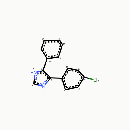 Clc1ccc(-c2nc[nH]c2-c2ccccc2)cc1